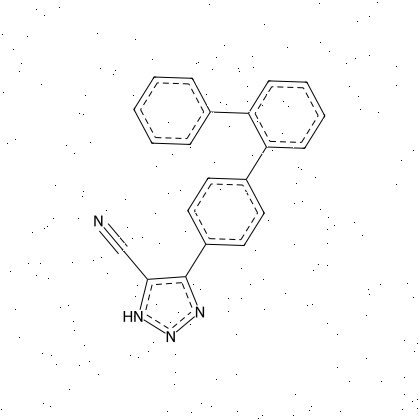 N#Cc1[nH]nnc1-c1ccc(-c2ccccc2-c2ccccc2)cc1